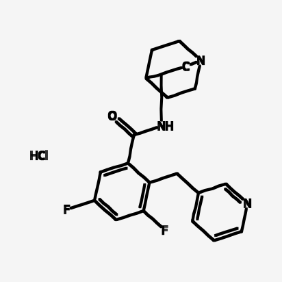 Cl.O=C(NC1CN2CCC1CC2)c1cc(F)cc(F)c1Cc1cccnc1